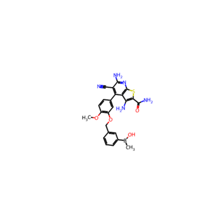 COc1ccc(-c2c(C#N)c(N)nc3sc(C(N)=O)c(N)c23)cc1OCc1cccc(B(C)O)c1